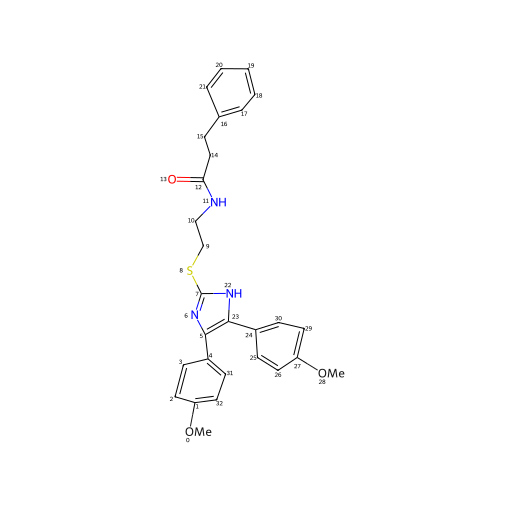 COc1ccc(-c2nc(SCCNC(=O)CCc3ccccc3)[nH]c2-c2ccc(OC)cc2)cc1